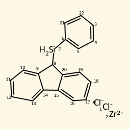 [Cl-].[Cl-].[Zr+2].c1ccc([SiH2]C2c3ccccc3-c3ccccc32)cc1